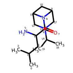 CC(C)CC(N)C(=O)N1C2CC1CN(C(C)C)C2